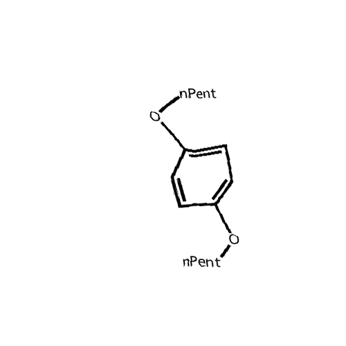 [CH2]CCCCOc1ccc(OCCCCC)cc1